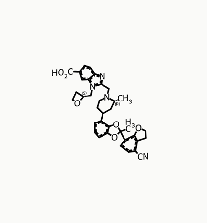 C[C@@H]1CC(c2cccc3c2OC(C)(c2ccc(C#N)c4c2OCC4)O3)CCN1Cc1nc2ccc(C(=O)O)cc2n1C[C@@H]1CCO1